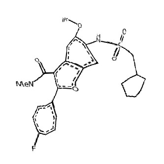 CNC(=O)c1c(-c2ccc(F)cc2)oc2cc(NS(=O)(=O)CC3CCCC3)c(OC(C)C)cc12